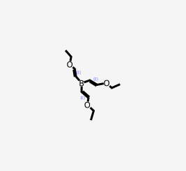 CCO/C=C/B(/C=C/OCC)/C=C/OCC